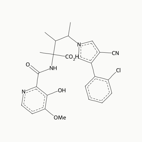 COc1ccnc(C(=O)NC(C)(C(=O)O)C(C)C(C)n2cc(C#N)c(-c3ccccc3Cl)c2)c1O